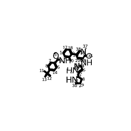 Cc1c(NC(=O)c2ccc(C(C)(C)C)cc2)cccc1-c1cc(Nc2cc(C3CCCN3)[nH]n2)c(=O)n(C)c1